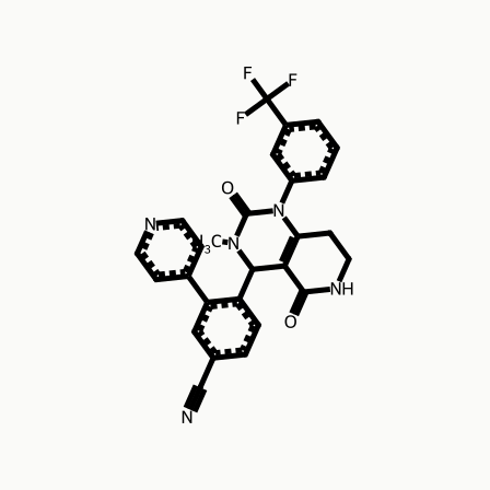 CN1C(=O)N(c2cccc(C(F)(F)F)c2)C2=C(C(=O)NCC2)C1c1ccc(C#N)cc1-c1ccncc1